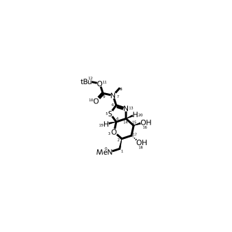 CNC[C@H]1O[C@@H]2SC(N(C)C(=O)OC(C)(C)C)=N[C@@H]2[C@@H](O)[C@@H]1O